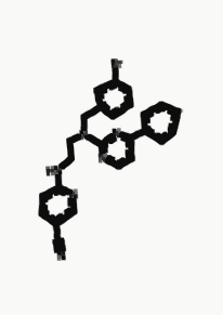 N#Cc1ccc(NCCN(Cc2cccc(Br)c2)c2nccc(-c3cc[c]cc3)n2)nc1